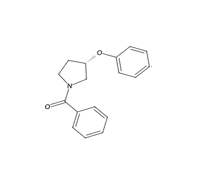 O=C(c1ccccc1)N1CC[C@H](Oc2cc[c]cc2)C1